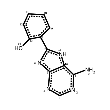 Nc1ncnc2nc(-c3ccccc3O)[nH]c12